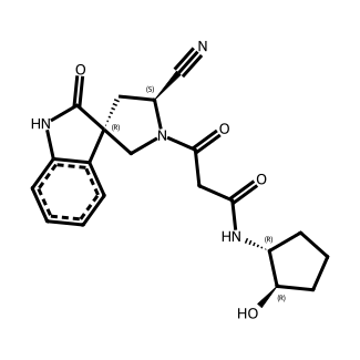 N#C[C@@H]1C[C@@]2(CN1C(=O)CC(=O)N[C@@H]1CCC[C@H]1O)C(=O)Nc1ccccc12